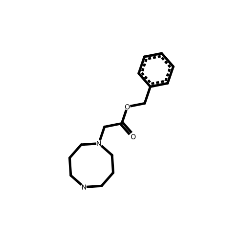 O=C(CN1CCC[N]CCC1)OCc1ccccc1